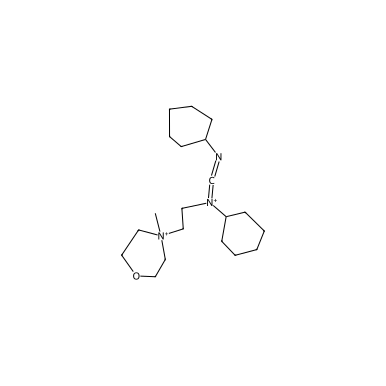 C[N+]1(CC[N+](=C=NC2CCCCC2)C2CCCCC2)CCOCC1